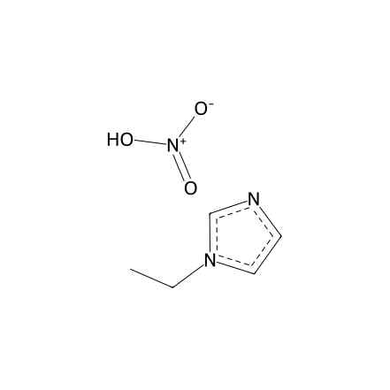 CCn1ccnc1.O=[N+]([O-])O